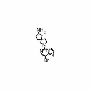 N[C@@H]1CCC2(CCN(c3ncc(Br)c4nccn34)C2)C1